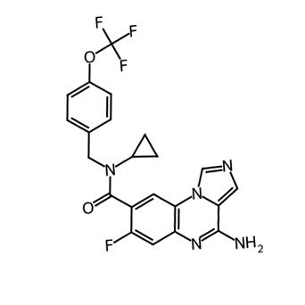 Nc1nc2cc(F)c(C(=O)N(Cc3ccc(OC(F)(F)F)cc3)C3CC3)cc2n2cncc12